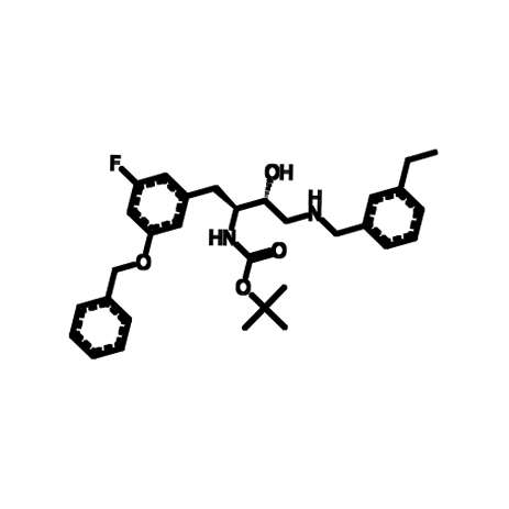 CCc1cccc(CNC[C@@H](O)[C@H](Cc2cc(F)cc(OCc3ccccc3)c2)NC(=O)OC(C)(C)C)c1